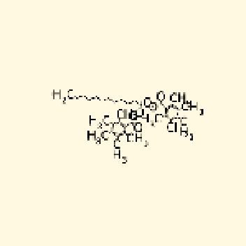 [CH2]CCCCCCCCCC[C](OOC(=O)c1c(C)c(C)c(C)c(C)c1C)OOC(=O)c1c(C)c(C)c(C)c(C)c1C